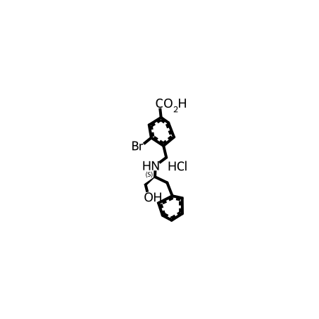 Cl.O=C(O)c1ccc(CN[C@H](CO)Cc2ccccc2)c(Br)c1